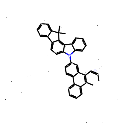 C/C=C\c1c(C)c2ccccc2c2ccc(-n3c4ccccc4c4c5c(ccc43)-c3ccccc3C5(C)C)cc12